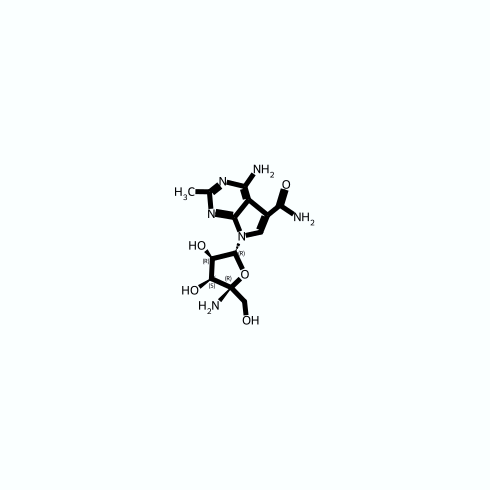 Cc1nc(N)c2c(C(N)=O)cn([C@@H]3O[C@](N)(CO)[C@@H](O)[C@H]3O)c2n1